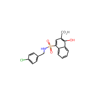 O=C(O)c1cc(S(=O)(=O)NCc2ccc(Cl)cc2)c2ccccc2c1O